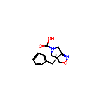 O=C(O)N1CC2=NOC[C@]2(Cc2ccccc2)C1